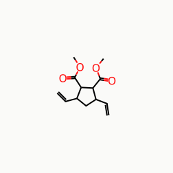 C=CC1CC(C=C)C(C(=O)OC)C1C(=O)OC